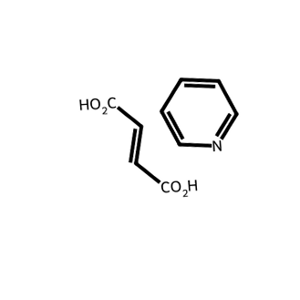 O=C(O)C=CC(=O)O.c1ccncc1